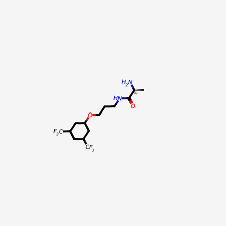 C[C@H](N)C(=O)NCCCOC1CC(C(F)(F)F)CC(C(F)(F)F)C1